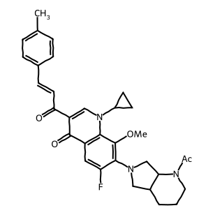 COc1c(N2CC3CCCN(C(C)=O)C3C2)c(F)cc2c(=O)c(C(=O)C=Cc3ccc(C)cc3)cn(C3CC3)c12